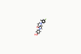 Cc1cc(F)ccc1N1CCC[C@@]2(CCN(C3CCC(O)CC3)C2=O)C1